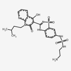 CC(C)CCn1c(=O)c(C2=NS(=O)(=O)c3cc(NS(=O)(=O)NCCN)ccc3N2)c(O)c2cccnc21